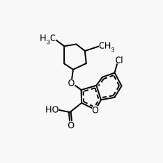 CC1CC(C)CC(Oc2c(C(=O)O)oc3ccc(Cl)cc23)C1